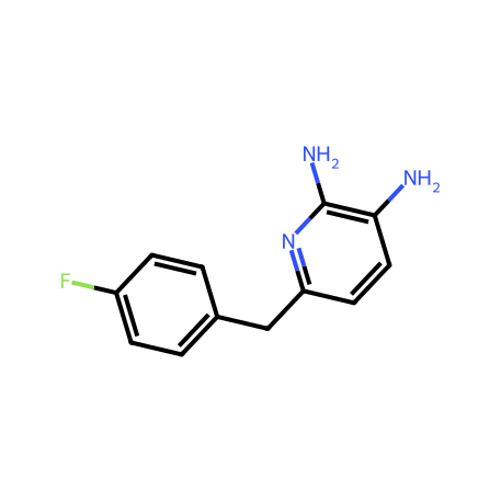 Nc1ccc(Cc2ccc(F)cc2)nc1N